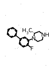 C[C@@H]1CNCCN1c1cc(-c2ccccc2)ccc1F